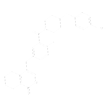 COc1ccc(OC2CCN(C(=O)c3cc(Cc4n[nH]c(=O)c5c4CCCC5)ccc3F)CC2)cc1